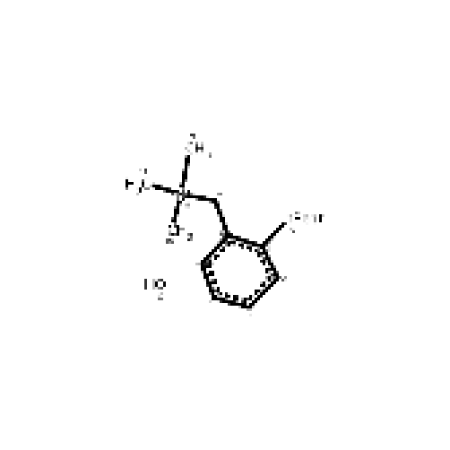 CCCCCc1ccccc1C[N+](C)(C)C.[OH-]